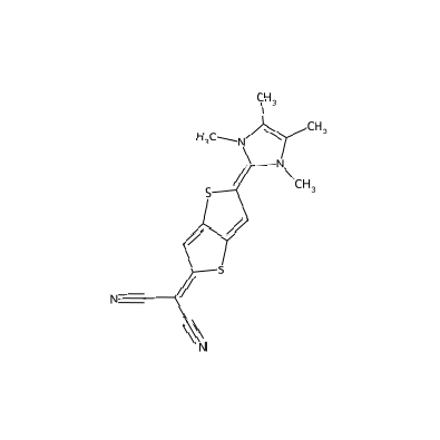 CC1=C(C)N(C)C(=c2cc3sc(=C(C#N)C#N)cc3s2)N1C